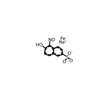 O=Nc1c(O)ccc2cc(S(=O)(=O)[O-])ccc12.[Fe].[Na+]